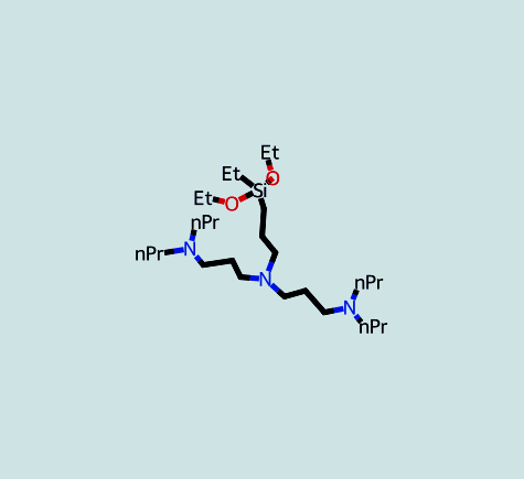 CCCN(CCC)CCCN(CCCN(CCC)CCC)CCC[Si](CC)(OCC)OCC